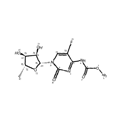 CCCOC(=O)Nc1nc(=O)n([C@@H]2O[C@H](C)[C@@H](O)[C@H]2O)cc1F